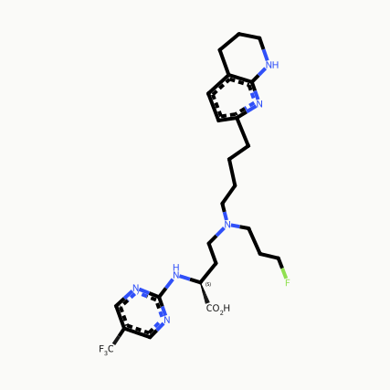 O=C(O)[C@H](CCN(CCCF)CCCCc1ccc2c(n1)NCCC2)Nc1ncc(C(F)(F)F)cn1